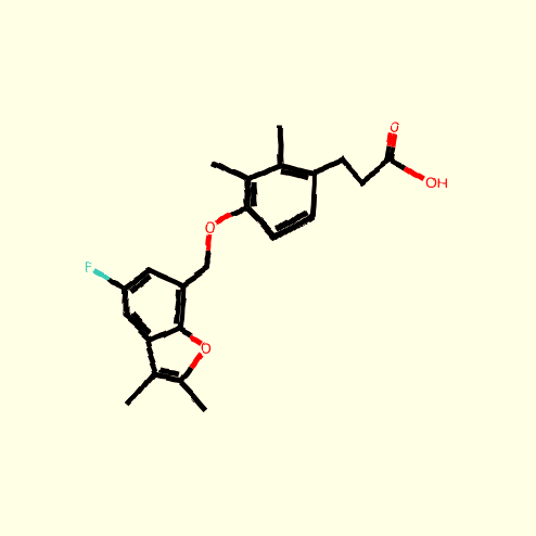 Cc1oc2c(COc3ccc(CCC(=O)O)c(C)c3C)cc(F)cc2c1C